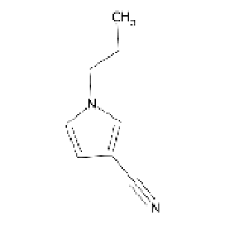 CCCn1ccc(C#N)c1